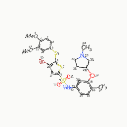 COc1ccc(Sc2sc(S(=O)(=O)Nc3ccc(C(F)(F)F)c(OC4CCN(C)C4)c3)cc2Br)cc1OC